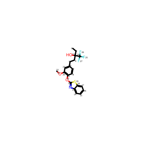 CCC(O)(CCc1ccc(Oc2nc3ccccc3s2)c(OC)c1)C(F)(F)F